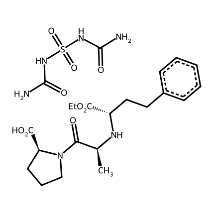 CCOC(=O)[C@H](CCc1ccccc1)N[C@@H](C)C(=O)N1CCC[C@H]1C(=O)O.NC(=O)NS(=O)(=O)NC(N)=O